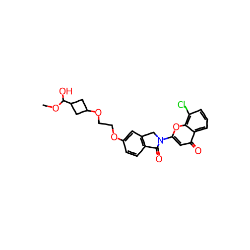 COC(O)C1CC(OCCOc2ccc3c(c2)CN(c2cc(=O)c4cccc(Cl)c4o2)C3=O)C1